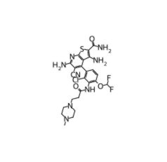 CN1CCN(CCC(=O)Nc2c(OC(F)F)ccc(-c3c(C#N)c(N)nc4sc(C(N)=O)c(N)c34)c2Cl)CC1